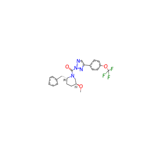 CO[C@H]1CC[C@H](Cc2ccccc2)N(C(=O)n2ncc(-c3ccc(OC(F)(F)F)cc3)n2)C1